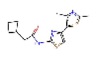 Cc1nc(C)c(-c2csc(NC(=O)CC3CCC3)n2)s1